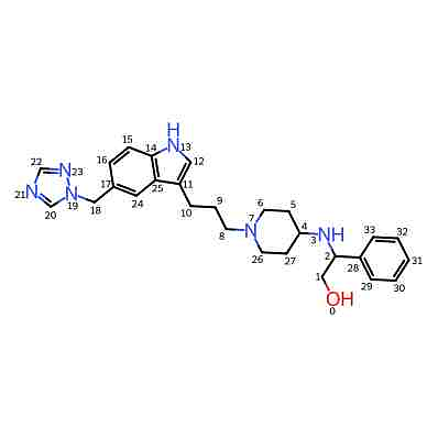 OCC(NC1CCN(CCCc2c[nH]c3ccc(Cn4cncn4)cc23)CC1)c1ccccc1